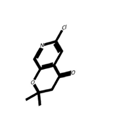 CC1(C)CC(=O)c2cc(Cl)ncc2O1